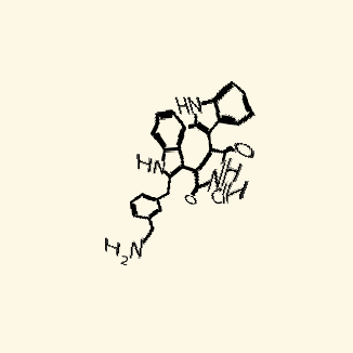 Cc1[nH]c2ccccc2c1C1=C(c2c(Cc3cccc(CN)c3)[nH]c3ccccc23)C(=O)NC1=O.Cl